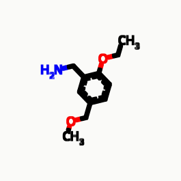 CCOc1ccc(COC)cc1CN